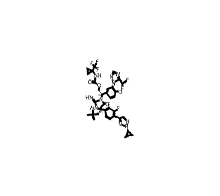 CC(C)(C)C[C@]1(c2ccc(-c3cnn(C4CC4)n3)c(F)c2F)NC(=N)N([C@H](COC(=O)NC2(C(F)(F)F)CC2)c2ccc(Cl)c(-n3ncnc3C(F)F)c2)C1=O